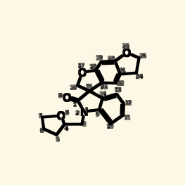 O=C1N(CC2CCCO2)c2ccccc2C12COc1cc3c(cc12)CCO3